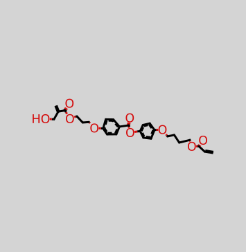 C=CC(=O)OCCCCOc1ccc(OC(=O)c2ccc(OCCCOC(=O)C(=C)CO)cc2)cc1